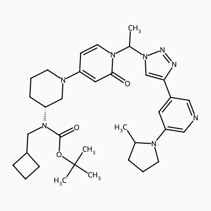 CC1CCCN1c1cncc(-c2cn(C(C)n3ccc(N4CCC[C@@H](N(CC5CCC5)C(=O)OC(C)(C)C)C4)cc3=O)nn2)c1